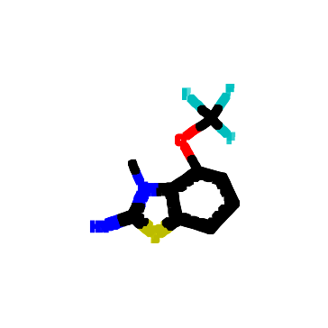 Cn1c(=N)sc2cccc(OC(F)(F)F)c21